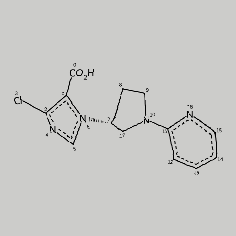 O=C(O)c1c(Cl)ncn1[C@@H]1CCN(c2ccccn2)C1